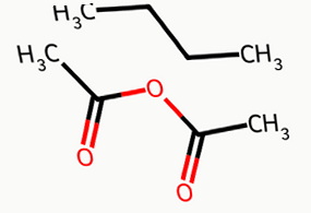 CC(=O)OC(C)=O.CCCC